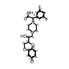 NC(=O)C(c1cc(F)cc(F)c1)N1CCN(CC(O)C2COc3cc(Cl)ccc3O2)CC1